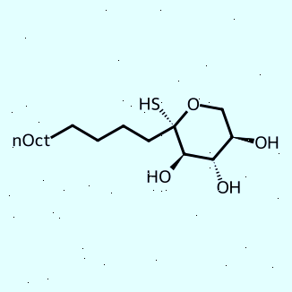 CCCCCCCCCCCC[C@@]1(S)OC[C@@H](O)[C@H](O)[C@H]1O